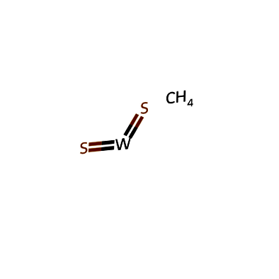 C.[S]=[W]=[S]